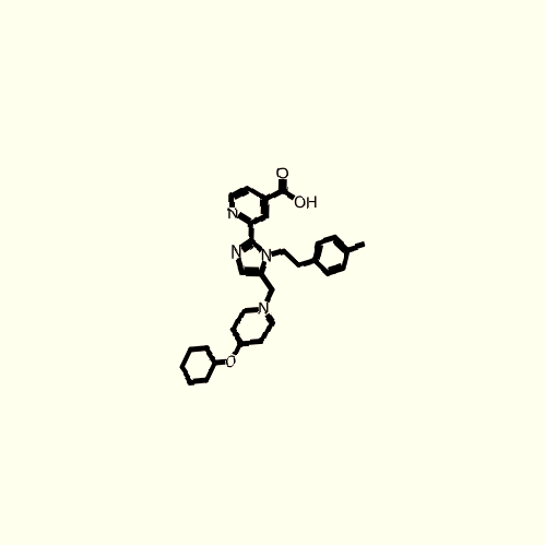 Cc1ccc(CCn2c(CN3CCC(OC4CCCCC4)CC3)cnc2-c2cc(C(=O)O)ccn2)cc1